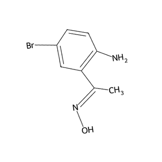 C/C(=N\O)c1cc(Br)ccc1N